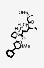 CNCC(CC(=O)[C@@H]1CCCN1C(=O)/C(C)=C/C(C(C)C)N(C)C(=O)CNC=O)c1ccccc1